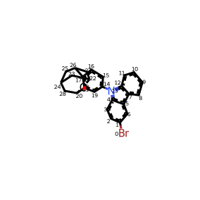 Brc1ccc2c(c1)c1ccccc1n2-c1ccc2c(c1)C1CC3CC(CC2C3)C1